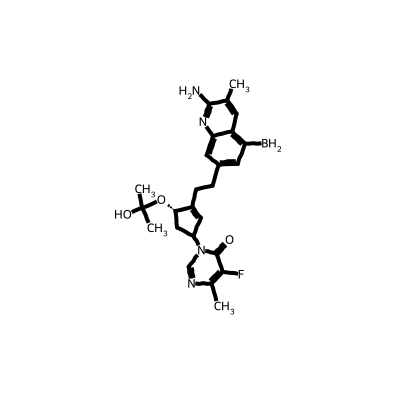 Bc1cc(CCC2=CC(n3cnc(C)c(F)c3=O)C[C@@H]2OC(C)(C)O)cc2nc(N)c(C)cc12